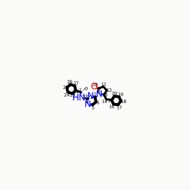 C[C@H](Nc1nccc(N2C(=O)CCC2Cc2ccccc2)n1)c1ccccc1